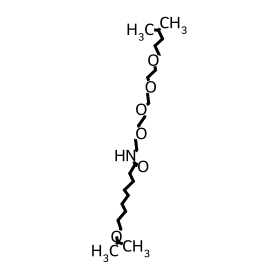 CC(C)CCCOCCOCCOCCOCCNC(=O)CCCCCCCCOC(C)C